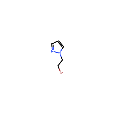 BrCCn1cccn1